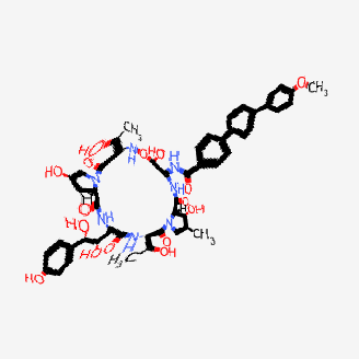 COc1ccc(-c2ccc(-c3ccc(C(=O)NC4NC(=O)[C@@H]5[C@@H](O)[C@@H](C)CN5C(=O)[C@H]([C@@H](C)O)NC(=O)[C@H]([C@H](O)[C@@H](O)c5ccc(O)cc5)NC(=O)[C@@H]5C[C@@H](O)CN5C(=O)[C@H]([C@@H](C)O)NO[C@H]4O)cc3)cc2)cc1